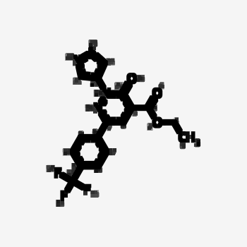 CCOC(=O)c1cc(-c2ccc(C(F)(F)F)cc2)nn(-c2cnsc2)c1=O